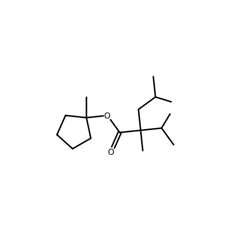 CC(C)CC(C)(C(=O)OC1(C)CCCC1)C(C)C